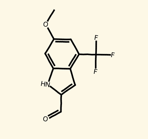 COc1cc(C(F)(F)F)c2cc(C=O)[nH]c2c1